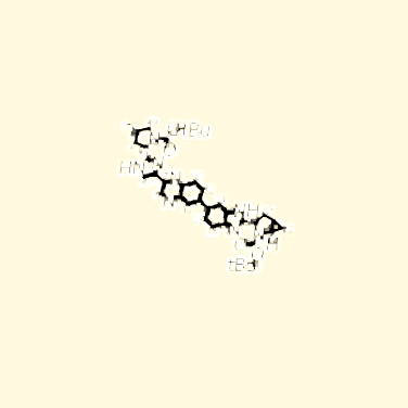 C[C@@H]1C[C@@H](c2nc(-c3cnc4cc(-c5ccc6nc([C@@H]7CC8C[C@H]8N7C(=O)OC(C)(C)C)[nH]c6c5)ccc4n3)c[nH]2)N(C(=O)OC(C)(C)C)C1